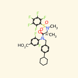 C[C@H](C(=O)N(Cc1ccc(C2CCCCC2)cc1)c1c(F)cc(C(=O)O)cc1F)N(C)S(=O)(=O)c1c(F)c(F)c(F)c(F)c1F